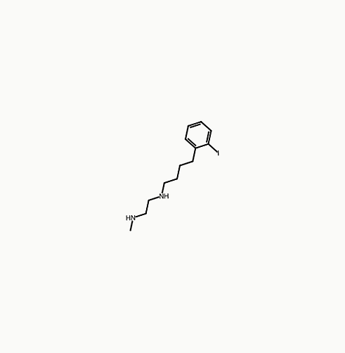 CNCCNCCCCc1ccccc1I